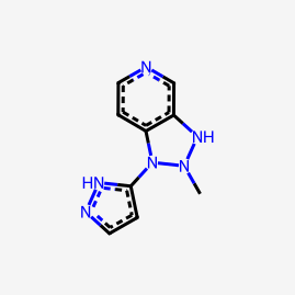 CN1Nc2cnccc2N1c1ccn[nH]1